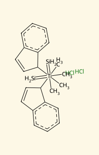 Cl.Cl.[CH3][Ti]([CH3])([CH3])([CH3])(=[SiH2])(=[SiH2])([CH]1C=Cc2ccccc21)[CH]1C=Cc2ccccc21